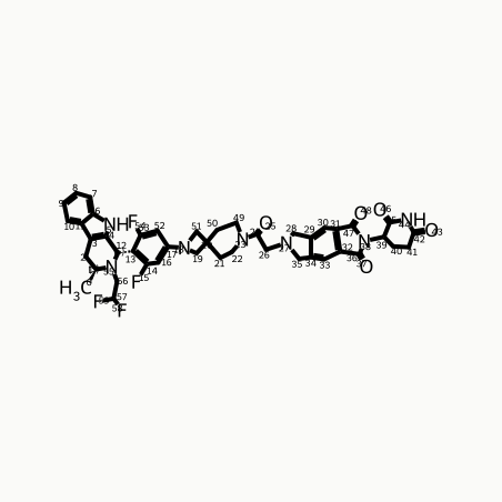 C[C@H]1Cc2c([nH]c3ccccc23)[C@H](c2c(F)cc(N3CC4(CCN(C(=O)CN5Cc6cc7c(cc6C5)C(=O)N(C5CCC(=O)NC5=O)C7=O)CC4)C3)cc2F)N1CC(F)F